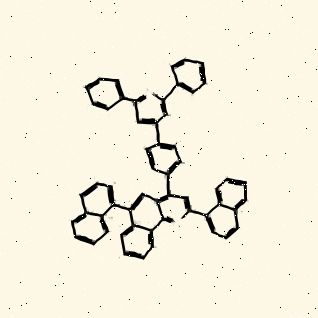 c1ccc(-c2cc(-c3ccc(-c4cc(-c5cccc6ccccc56)nc5c4cc(-c4cccc6ccccc46)c4ccccc45)cc3)cc(-c3ccccc3)n2)cc1